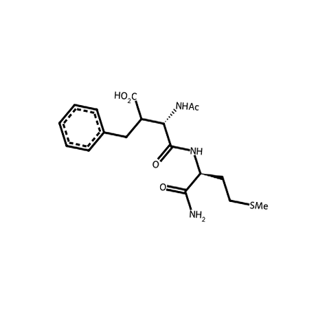 CSCC[C@H](NC(=O)[C@@H](NC(C)=O)C(Cc1ccccc1)C(=O)O)C(N)=O